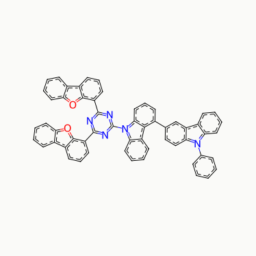 c1ccc(-n2c3ccccc3c3cc(-c4cccc5c4c4ccccc4n5-c4nc(-c5cccc6c5oc5ccccc56)nc(-c5cccc6c5oc5ccccc56)n4)ccc32)cc1